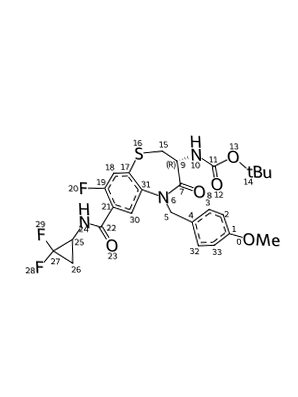 COc1ccc(CN2C(=O)[C@@H](NC(=O)OC(C)(C)C)CSc3cc(F)c(C(=O)NC4CC4(F)F)cc32)cc1